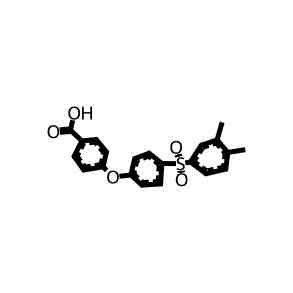 Cc1ccc(S(=O)(=O)c2ccc(Oc3ccc(C(=O)O)cc3)cc2)cc1C